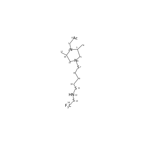 CC(=O)CN1C(C)CN(SCCCSNSC(F)(F)F)CC1C